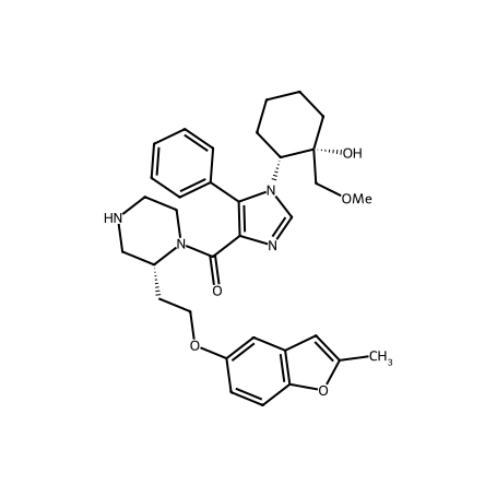 COC[C@]1(O)CCCC[C@H]1n1cnc(C(=O)N2CCNC[C@H]2CCOc2ccc3oc(C)cc3c2)c1-c1ccccc1